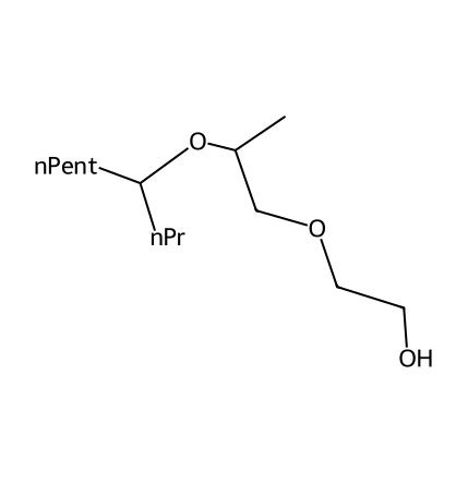 CCCCCC(CCC)OC(C)COCCO